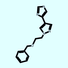 C1=NC(c2cnn(CCOCc3ccccc3)c2)=C[N]1